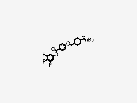 CCCCOC1CCC(COc2ccc(C(=O)Oc3cc(F)c(F)c(F)c3)cc2)CC1